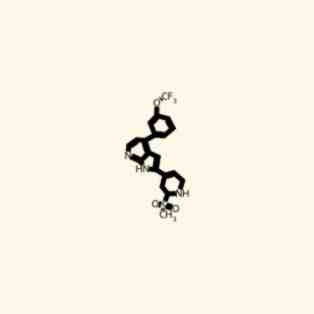 CS(=O)(=O)C1CC(c2cc3c(-c4cccc(OC(F)(F)F)c4)ccnc3[nH]2)=CCN1